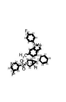 Cc1cc2c(cnn2-c2ccc(F)cc2)cc1[C@@]12CN(S(=O)(=O)c3cncc(F)c3)C[C@@H]1[C@H]2C1C=CC=CC1